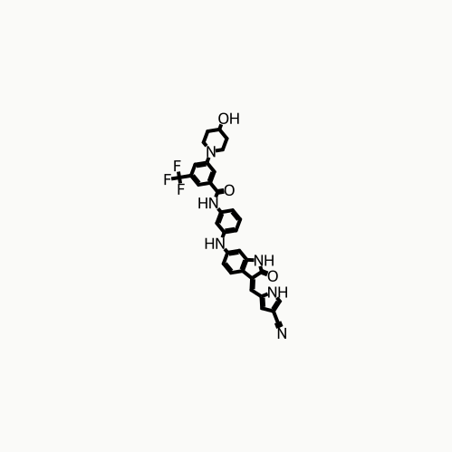 N#Cc1c[nH]c(/C=C2\C(=O)Nc3cc(Nc4cccc(NC(=O)c5cc(N6CCC(O)CC6)cc(C(F)(F)F)c5)c4)ccc32)c1